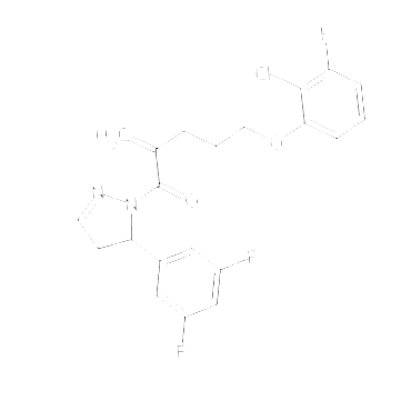 C=C(CCCOc1cccc(F)c1Cl)C(=O)N1N=CCC1c1cc(F)cc(F)c1